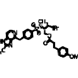 COc1ccc(CCC(=O)OC[C@H](CC(C)C)N(C)S(=O)(=O)c2ccc(Cc3nccc4[nH]c(C)nc34)cc2)cc1